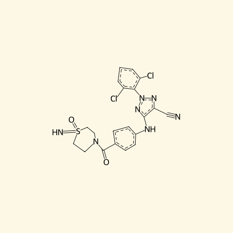 N#Cc1nn(-c2c(Cl)cccc2Cl)nc1Nc1ccc(C(=O)N2CCS(=N)(=O)CC2)cc1